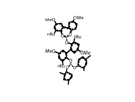 CCCCc1cc(OC)cc(-c2cc(OC)cc(CCCC)c2Op2oc3ccc(OC)cc3c3cc(OC)cc(CCCC)c3o2)c1OP(Oc1ccc(C)cc1C)Oc1ccc(C)cc1C